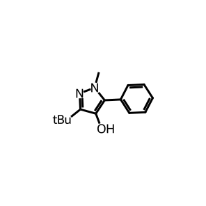 Cn1nc(C(C)(C)C)c(O)c1-c1ccccc1